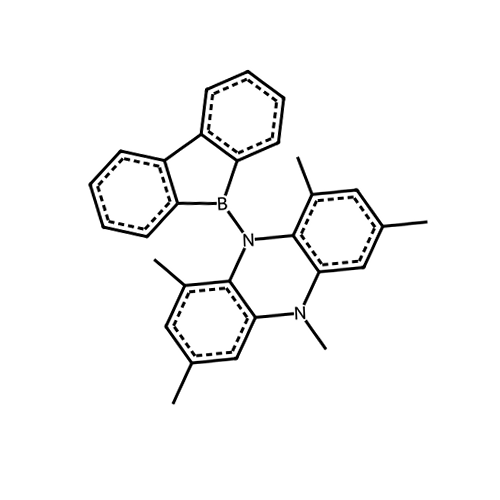 Cc1cc(C)c2c(c1)N(C)c1cc(C)cc(C)c1N2B1c2ccccc2-c2ccccc21